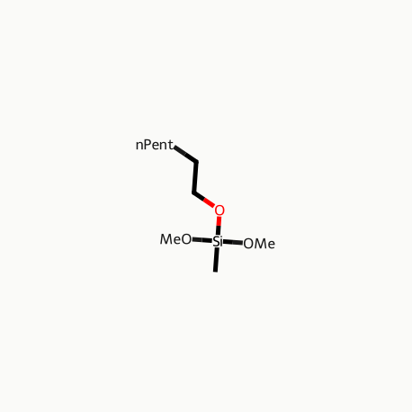 CCCCCCCO[Si](C)(OC)OC